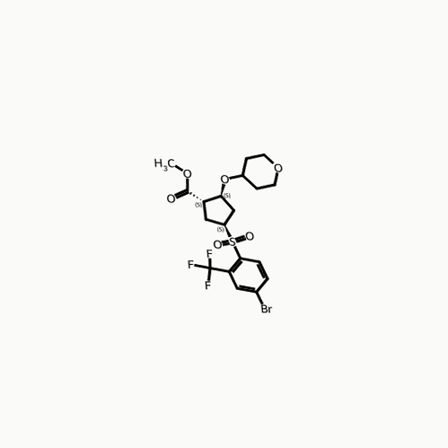 COC(=O)[C@H]1C[C@H](S(=O)(=O)c2ccc(Br)cc2C(F)(F)F)C[C@@H]1OC1CCOCC1